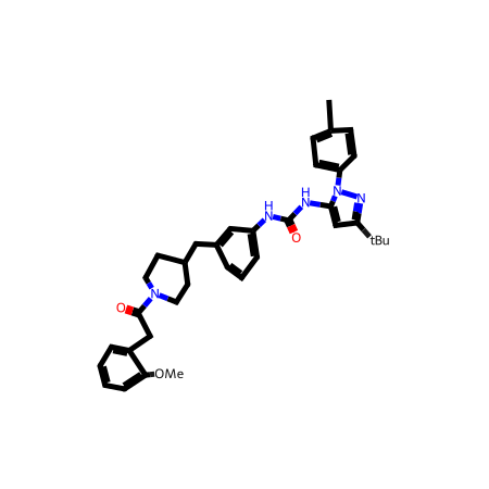 COc1ccccc1CC(=O)N1CCC(Cc2cccc(NC(=O)Nc3cc(C(C)(C)C)nn3-c3ccc(C)cc3)c2)CC1